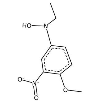 CCN(O)c1ccc(OC)c([N+](=O)[O-])c1